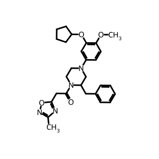 COc1ccc(N2CCN(C(=O)Cc3nc(C)no3)C(Cc3ccccc3)C2)cc1OC1CCCC1